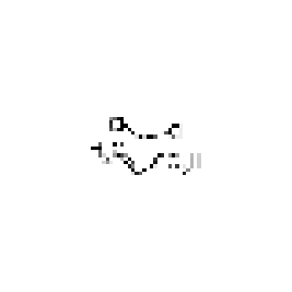 C=CC(=O)O.ClCCl